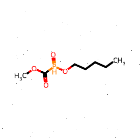 CCCCCO[PH](=O)C(=O)OC